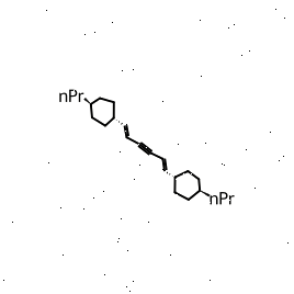 CCC[C@H]1CC[C@H](C=CC#CC=C[C@H]2CC[C@H](CCC)CC2)CC1